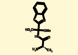 COC(NC(=O)[C@H](C)N)(C(=O)O)c1nc2ccccc2s1